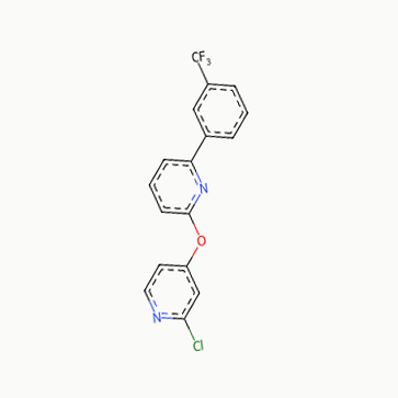 FC(F)(F)c1cccc(-c2cccc(Oc3ccnc(Cl)c3)n2)c1